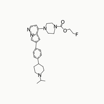 CC(C)N1CCC(c2ccc(-c3cc4c(N5CCN(C(=O)OCCF)CC5)ccnn4c3)cc2)CC1